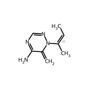 C=C1C(N)=NC=NN1/C(C)=C\C